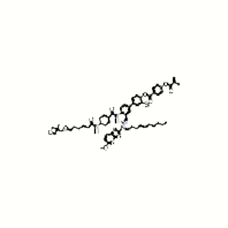 C=C(C)C(=O)Oc1ccc(C(=O)Oc2ccc(-c3ccc(NC(=O)C4CCC(NC(=O)CCCCCOCC5(C)COC5)CC4)c(/C=N/N(CCCCCCCCCC)c4nc5ccc(OC)nc5s4)c3)cc2Br)cc1